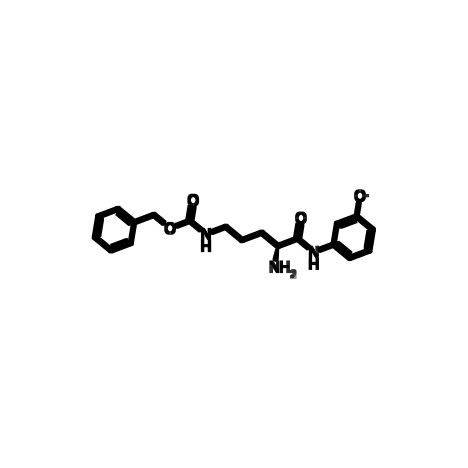 N[C@@H](CCCNC(=O)OCc1ccccc1)C(=O)Nc1cccc([O])c1